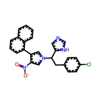 O=[N+]([O-])c1cn(C(Cc2ccc(Cl)cc2)c2cnc[nH]2)cc1-c1cccc2ccccc12